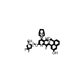 C#Cc1cccc2cc(O)cc(-c3ncc4c(N5CC6CCC(C5)N6)cc(OC[C@@H]5CC(F)(F)CN5C)nc4c3F)c12